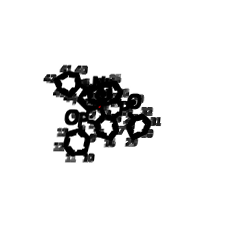 O=P(c1ccccc1)(c1ccccc1)c1cccc(P(=O)(c2ccccc2)c2ccccc2)c1-c1ccnc(-c2ccccc2)c1